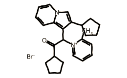 Cc1cccc[n+]1C(C(=O)C1CCCC1)c1c(C2CCCC2)cn2ccccc12.[Br-]